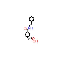 O=C(NCCc1ccccc1)c1ccc2c(c1)B(OO)C2